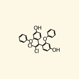 Oc1ccc(C(=C(Cl)Cl)c2ccc(O)cc2Oc2ccccc2)c(Oc2ccccc2)c1